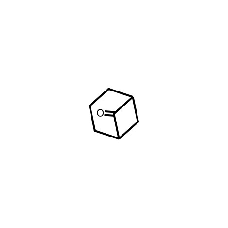 O=C1C2CCCC1C2